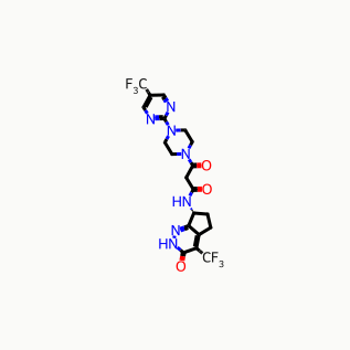 O=C(CC(=O)N1CCN(c2ncc(C(F)(F)F)cn2)CC1)N[C@@H]1CCc2c1n[nH]c(=O)c2C(F)(F)F